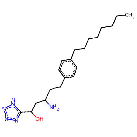 CCCCCCCCc1ccc(CCC(N)CC(O)c2nnn[nH]2)cc1